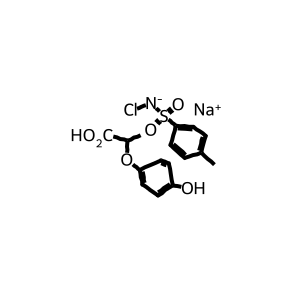 CC(Oc1ccc(O)cc1)C(=O)O.Cc1ccc(S(=O)(=O)[N-]Cl)cc1.[Na+]